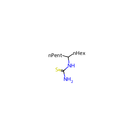 CCCCCCC(CCCCC)NC(N)=S